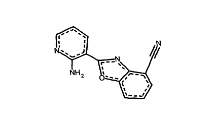 N#Cc1cccc2oc(-c3cccnc3N)nc12